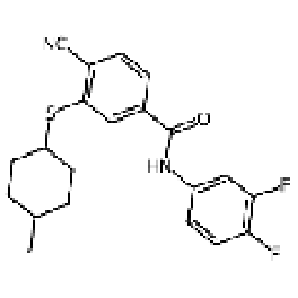 CC1CCC(Sc2cc(C(=O)Nc3ccc(F)c(F)c3)ccc2C#N)CC1